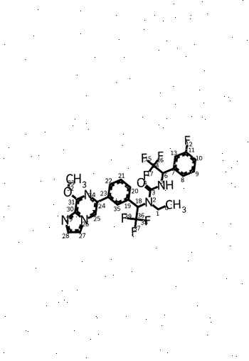 CCN(C(=O)NC(c1cccc(F)c1)C(F)(F)F)C(c1cccc(-c2cn3ccnc3c(OC)n2)c1)C(F)(F)F